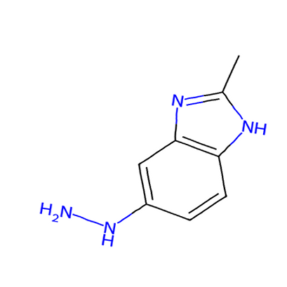 Cc1nc2cc(NN)ccc2[nH]1